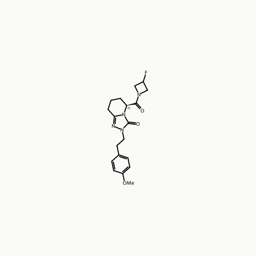 COc1ccc(CCn2nc3n(c2=O)[C@H](C(=O)N2CC(F)C2)CCC3)cc1